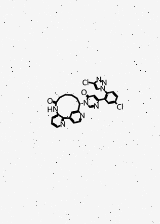 C[C@@H]1CCC[C@H](n2cnc(-c3cc(Cl)ccc3-n3cc(Cl)nn3)cc2=O)c2cc(ccn2)-c2ncccc2NC1=O